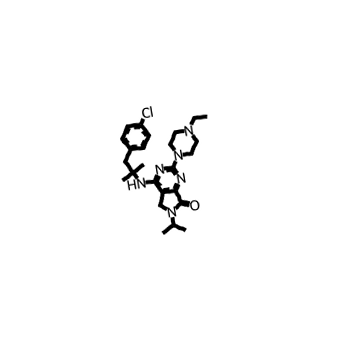 CCN1CCN(c2nc(NC(C)(C)Cc3ccc(Cl)cc3)c3c(n2)C(=O)N(C(C)C)C3)CC1